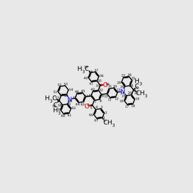 Cc1ccc(C(=O)c2cc(-c3ccc(N4c5ccccc5C(C)(C)c5ccccc54)cc3)c(C(=O)c3ccc(C)cc3)cc2-c2ccc(N3C4=C(C=CCC4)C(C)(C)c4ccccc43)cc2)cc1